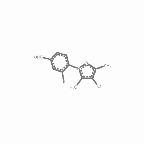 Cc1nn(-c2ccc(C=O)cc2F)c(C)c1Cl